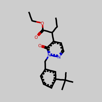 CCOC(=O)C(CC)c1ccnn(Cc2cccc(C(C)(C)C)c2)c1=O